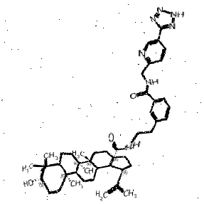 C=C(C)[C@@H]1CC[C@]2(C(=O)NCCc3cccc(C(=O)NCc4ccc(-c5nn[nH]n5)cn4)c3)CC[C@]3(C)C(CCC4[C@@]5(C)CC[C@H](O)C(C)(C)C5CC[C@]43C)C12